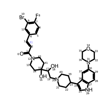 O=C(/C=C/c1ccc(F)c(Br)c1)N1CCC(O)(C(O)CN2CCC(c3c[nH]c4ccc(N5CCOCC5)cc34)CC2)CC1